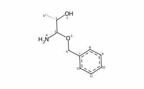 C[C@H](O)C(N)OCc1ccccc1